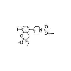 CC[C@@H](Cc1cc(F)ccc1C1=CCN(C(=O)OC(C)(C)C)CC1)C(=O)OC